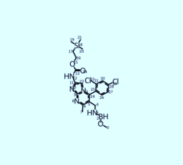 COBNCc1c(C)nc2nc(NC(=O)OCC[Si](C)(C)C)cn2c1-c1ccc(Cl)cc1Cl